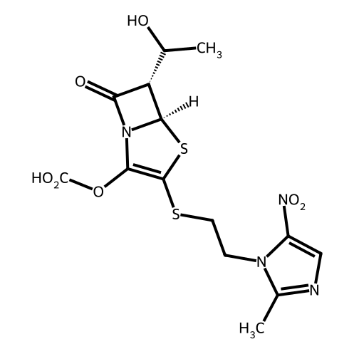 Cc1ncc([N+](=O)[O-])n1CCSC1=C(OC(=O)O)N2C(=O)[C@H](C(C)O)[C@H]2S1